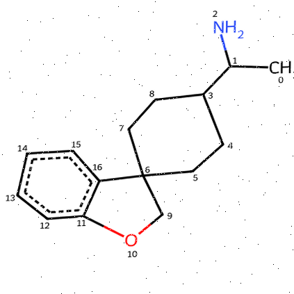 CC(N)C1CCC2(CC1)COc1ccccc12